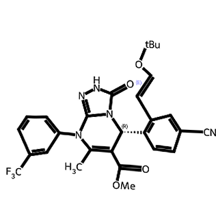 COC(=O)C1=C(C)N(c2cccc(C(F)(F)F)c2)c2n[nH]c(=O)n2[C@@H]1c1ccc(C#N)cc1/C=C/OC(C)(C)C